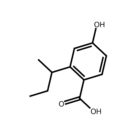 CCC(C)c1cc(O)ccc1C(=O)O